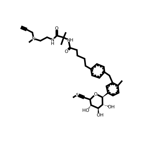 C#CCN(C)CCNC(=O)C(C)(C)NC(=O)CCCCc1ccc(Cc2cc([C@@H]3OC(C#SC)[C@@H](O)[C@H](O)[C@H]3O)ccc2C)cc1